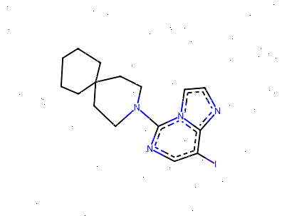 Ic1cnc(N2CCC3(CCCCC3)CC2)n2ccnc12